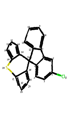 Clc1ccc2c(c1)-c1ccccc1C21c2ccccc2Sc2ccccc21